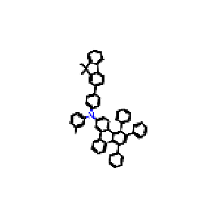 Cc1cccc(N(c2ccc(-c3ccc4c(c3)C(C)(C)c3ccccc3-4)cc2)c2ccc3c(c2)c2ccccc2c2c(-c4ccccc4)cc(-c4ccccc4)c(-c4ccccc4)c32)c1